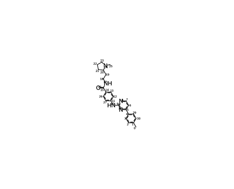 Cc1ccc(-c2ccnc(Nc3ccc(C(=O)NCCC4CCCN4C)cc3)n2)cc1